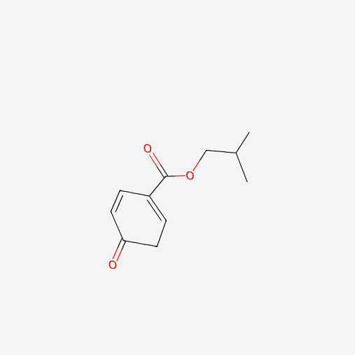 CC(C)COC(=O)C1=CCC(=O)C=C1